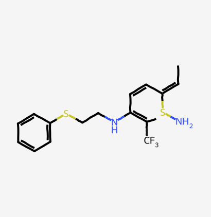 C\C=C(/C=C\C(NCCSc1ccccc1)=C(/C)C(F)(F)F)SN